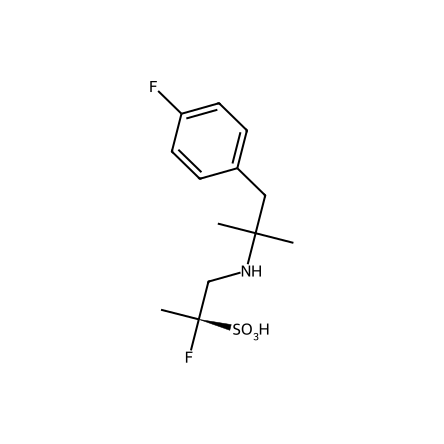 CC(C)(Cc1ccc(F)cc1)NC[C@@](C)(F)S(=O)(=O)O